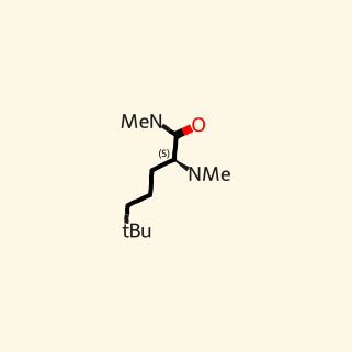 CNC(=O)[C@H](CCCC(C)(C)C)NC